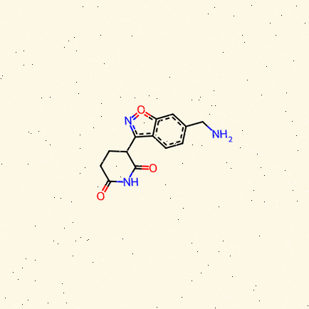 NCc1ccc2c(C3CCC(=O)NC3=O)noc2c1